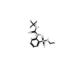 CCOS(=O)(=O)c1ccccc1NC(=O)OC(C)(C)C